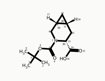 CC(C)(C)OC(=O)N1C[C@@H]2C[C@@H]2C[C@@H]1C(=O)O